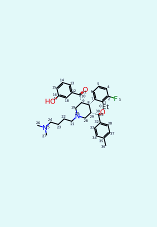 CCc1c(F)cccc1[C@H]1[C@@H](C(=O)c2cccc(O)c2)CN(CCCCN(C)C)C[C@H]1C(=O)c1ccc(C)cc1